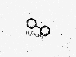 CC.c1ccc(-c2ccccc2)cc1